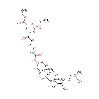 CCOC(=O)CCN(CC(=O)OCC)C(=O)CCCNC(=O)O[C@H]1CC[C@@]2(C)C(=CCC3C2CC[C@@]2(C)C3CC[C@@H]2C(C)CCCC(C)C)C1